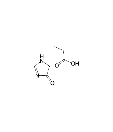 CCC(=O)O.O=C1CNC=N1